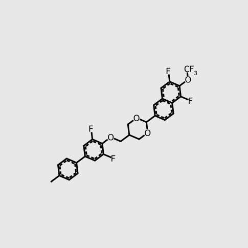 Cc1ccc(-c2cc(F)c(OCC3COC(c4ccc5c(F)c(OC(F)(F)F)c(F)cc5c4)OC3)c(F)c2)cc1